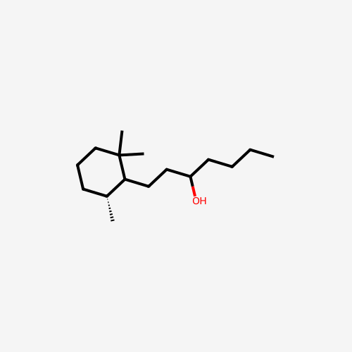 CCCCC(O)CCC1[C@H](C)CCCC1(C)C